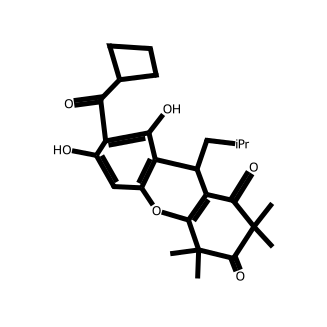 CC(C)CC1C2=C(Oc3cc(O)c(C(=O)C4CCC4)c(O)c31)C(C)(C)C(=O)C(C)(C)C2=O